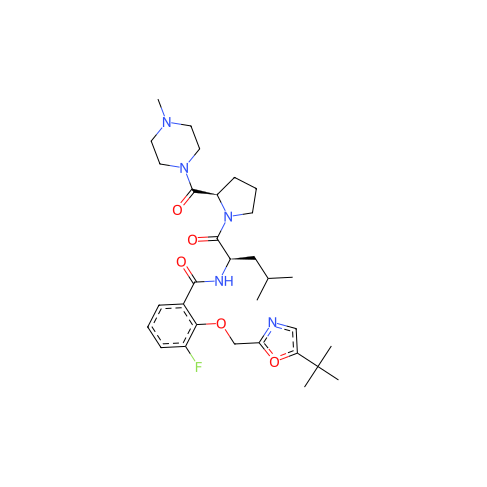 CC(C)C[C@@H](NC(=O)c1cccc(F)c1OCc1ncc(C(C)(C)C)o1)C(=O)N1CCC[C@@H]1C(=O)N1CCN(C)CC1